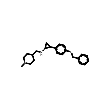 CN1CCC(CN[C@H]2CC2c2ccc(OCc3ccccc3)cc2)CC1